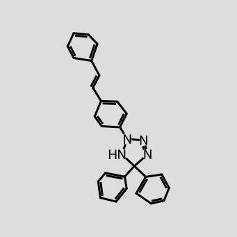 C(=Cc1ccc(N2N=NC(c3ccccc3)(c3ccccc3)N2)cc1)c1ccccc1